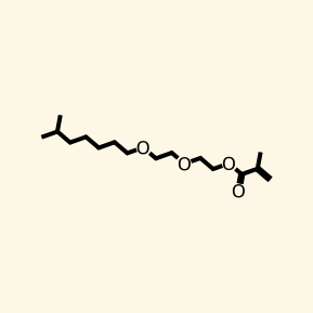 C=C(C)C(=O)OCCOCCOCCCCCC(C)C